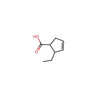 CCC1C=CCC1C(=O)O